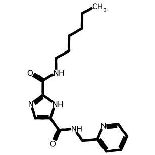 CCCCCCNC(=O)c1ncc(C(=O)NCc2ccccn2)[nH]1